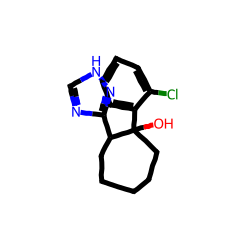 OC1(c2ccccc2Cl)CCCCCC1c1nc[nH]n1